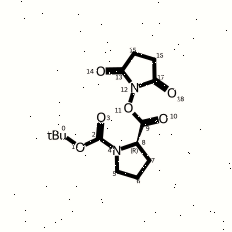 CC(C)(C)OC(=O)N1CCC[C@@H]1C(=O)ON1C(=O)CCC1=O